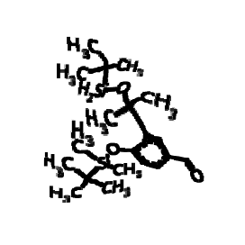 CC(C)(C)[SiH2]OC(C)(C)c1cc(C=O)ccc1O[Si](C)(C)C(C)(C)C